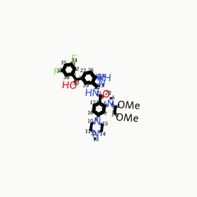 COCC(OC)N(C)c1cc(N2CCN(C)CC2)ccc1C(=O)Nc1n[nH]c2ccc(C(O)c3cc(F)cc(F)c3)cc12